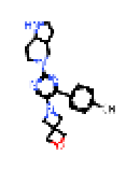 N#Cc1ccc(-c2nc(N3CCC4NCCC4C3)ncc2N2CC3(COC3)C2)cc1